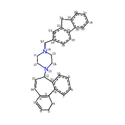 C1=CC2=C(CC1)c1ccccc1C(N1CCN(Cc3ccc4c(c3)Cc3ccccc3-4)CC1)C=C2